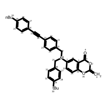 C=C1OC(=O)c2cc(N(Cc3ccc(C#Cc4ccc(CCCC)cc4)cc3)Cc3ccc(C(C)(C)C)cc3)ccc2O1